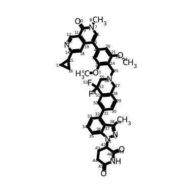 COc1cc(-c2cn(C)c(=O)c3cnc(C4CC4)cc23)cc(OC)c1CN1Cc2ccc(-c3cccc4c3c(C)nn4C3CCC(=O)NC3=O)cc2C(F)(F)C1